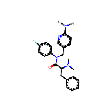 CCN(CC)c1ccc(CN(C(=O)C(Cc2ccccc2)N(C)C)c2ccc(F)cc2)cn1